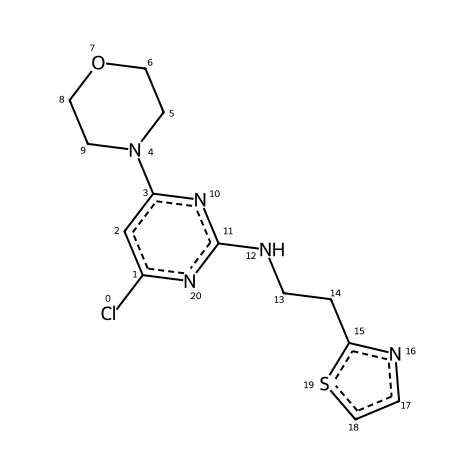 Clc1cc(N2CCOCC2)nc(NCCc2nccs2)n1